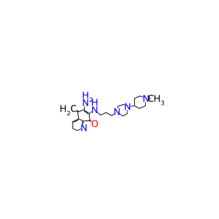 C=C1C2=CCCN=C2C(=O)C(NCCCN2CCN(C3CCN(C)CC3)CC2)=C1N